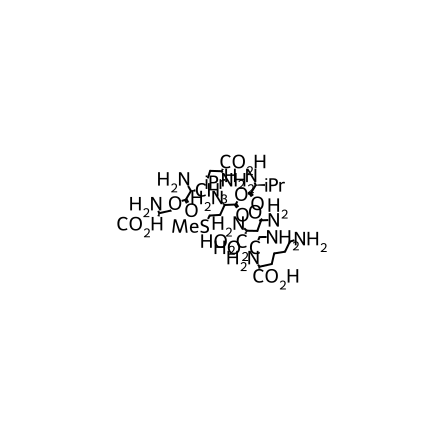 CC(C)C[C@H](N)C(=O)O.CSCC[C@H](N)C(=O)OC(=O)[C@@H](N)C(C)C.C[C@H](N)C(=O)OC[C@H](N)C(=O)O.NC(=O)C[C@H](N)C(=O)O.NCC(=O)O.NCCCC[C@H](N)C(=O)O